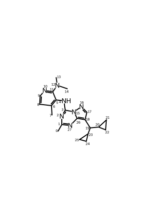 Cc1nc(Nc2c(C)ccnc2N(C)C)n2ncc(C(C3CC3)C3CC3)c2n1